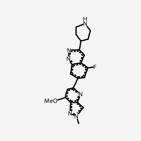 COc1cc(-c2cc(F)c3cc(C4CCNCC4)nnc3c2)nc2cn(C)nc12